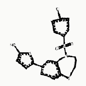 N#Cc1ccc(-c2ccc3c(c2)N(S(=O)(=O)c2ccc(Cl)cc2)CCS3)s1